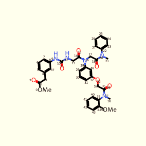 COC(=O)Cc1cccc(NC(=O)NCC(=O)N(CC(=O)N(C)c2ccccc2)c2cccc(OCC(=O)N(C)c3ccccc3OC)c2)c1